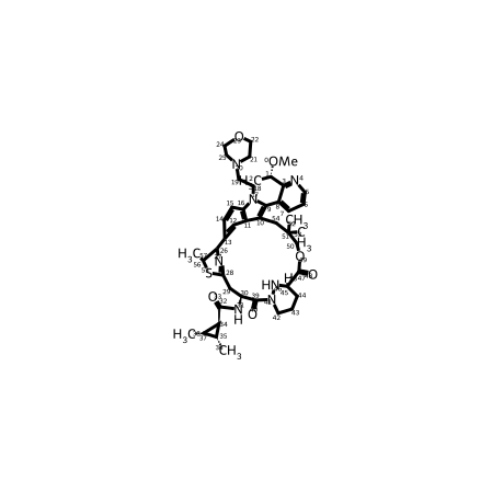 CO[C@@H](C)c1ncccc1-c1c2c3cc(ccc3n1CCN1CCOCC1)C1N=C(C[C@H](NC(=O)[C@H]3[C@H](C)[C@@H]3C)C(=O)N3CCC[C@H](N3)C(=O)OCC(C)(C)C2)SC1C